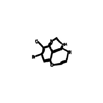 Clc1c(Br)cc2c3c1=NCNC=3NC=CO2